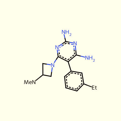 CCc1cccc(-c2c(N)nc(N)nc2N2CC(NC)C2)c1